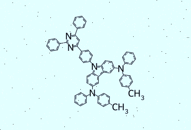 Cc1ccc(N(c2ccccc2)c2ccc3c(c2)c2cc(N(c4ccccc4)c4ccc(C)cc4)ccc2n3-c2ccc(-c3cc(-c4ccccc4)nc(-c4ccccc4)n3)cc2)cc1